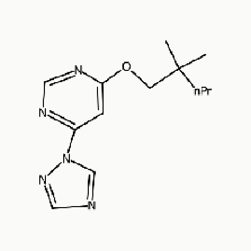 CCCC(C)(C)COc1cc(-n2cncn2)ncn1